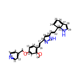 COc1cc(OCc2ccncc2)ccc1/C=C/c1cc(/C=C/c2cccc3cc[nH]c23)[nH]n1